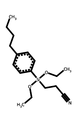 CCCCc1ccc([Si](CCC#N)(OCC)OCC)cc1